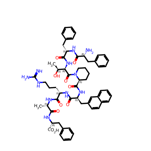 C[C@H](NC(=O)[C@H](CCCNC(=N)N)NC(=O)[C@H](Cc1ccc2ccccc2c1)NC(=O)[C@@H]1CCCCN1C(=O)[C@H](NC(=O)[C@H](Cc1ccccc1)NC(=O)[C@H](N)Cc1ccccc1)[C@H](C)O)C(=O)N[C@H](Cc1ccccc1)C(=O)O